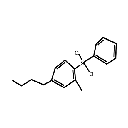 CCCCc1ccc([Si](Cl)(Cl)c2ccccc2)c(C)c1